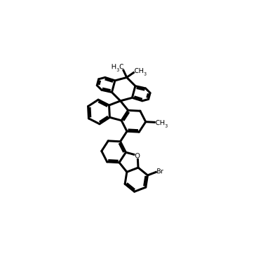 CC1C=C(C2=C3OC4C(Br)=CC=CC4C3=CCC2)C2=C(C1)C1(c3ccccc32)c2ccccc2C(C)(C)c2ccccc21